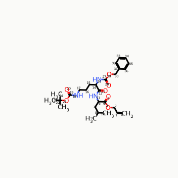 C=CCOC(=O)C(CC(C)C)NC(=O)C(CCCNC(=O)OC(C)(C)C)NC(=O)OCc1ccccc1